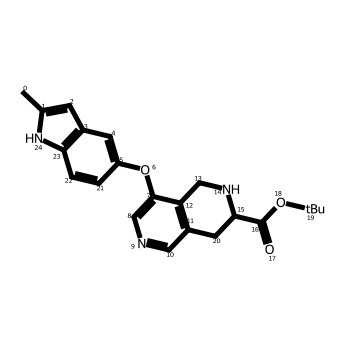 Cc1cc2cc(Oc3cncc4c3CNC(C(=O)OC(C)(C)C)C4)ccc2[nH]1